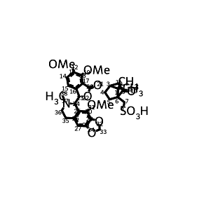 CC1(C)C2CCC1(CS(=O)(=O)O)C(=O)C2.COc1ccc2c(c1OC)C(=O)O[C@@H]2[C@H]1c2c(cc3c(c2OC)OCO3)CCN1C